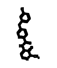 Cn1nccc(NC(=O)c2ccc(Cc3cccc(Cl)c3)cn2)c1=O